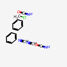 C#N.C#N.CCl.N=C=O.N=C=O.c1ccccc1.c1ccccc1